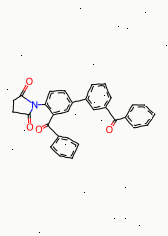 O=C(c1ccccc1)c1cccc(-c2ccc(N3C(=O)CCC3=O)c(C(=O)c3ccccc3)c2)c1